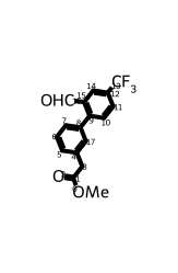 COC(=O)Cc1cccc(-c2ccc(C(F)(F)F)cc2C=O)c1